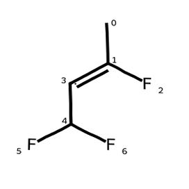 CC(F)=[C]C(F)F